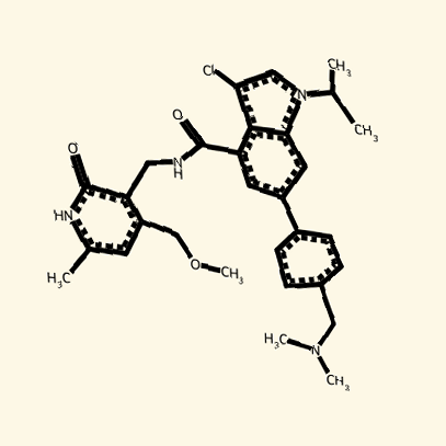 COCc1cc(C)[nH]c(=O)c1CNC(=O)c1cc(-c2ccc(CN(C)C)cc2)cc2c1c(Cl)cn2C(C)C